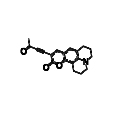 CC(=O)C#Cc1cc2cc3c4c(c2oc1=O)CCCN4CCC3